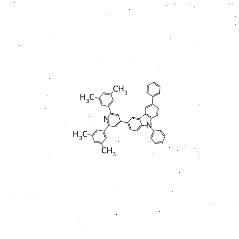 Cc1cc(C)cc(-c2cc(-c3ccc4c(c3)c3cc(-c5ccccc5)ccc3n4-c3ccccc3)cc(-c3cc(C)cc(C)c3)n2)c1